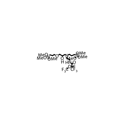 CO[Si](CCCOCC(O)CN(CCC[Si](OC)(OC)OC)CCNC(=O)C(F)(OC(F)(F)F)C(F)(F)F)(OC)OC